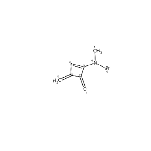 C=C1C=C(N(C)C(C)C)C1=O